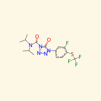 CC(C)N(C(=O)n1nnn(-c2ccc(SC(F)(F)F)c(F)c2)c1=O)C(C)C